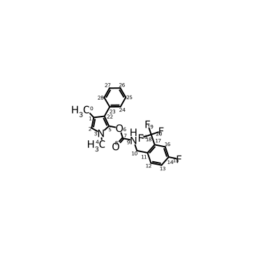 Cc1cn(C)c(OC(=O)NCc2ccc(F)cc2C(F)(F)F)c1-c1ccccc1